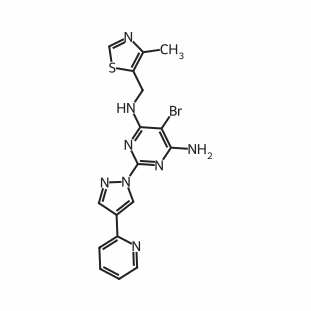 Cc1ncsc1CNc1nc(-n2cc(-c3ccccn3)cn2)nc(N)c1Br